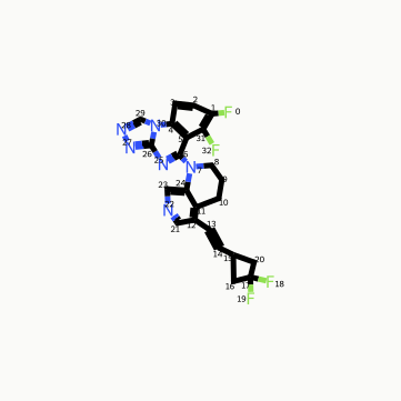 Fc1ccc2c(c(N3CCCc4c(C#CC5CC(F)(F)C5)cncc43)nc3nncn32)c1F